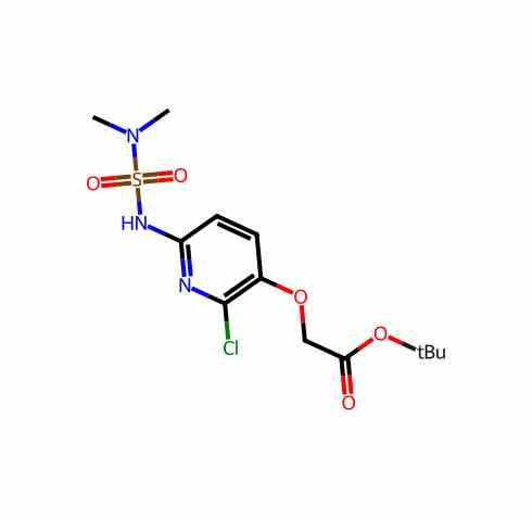 CN(C)S(=O)(=O)Nc1ccc(OCC(=O)OC(C)(C)C)c(Cl)n1